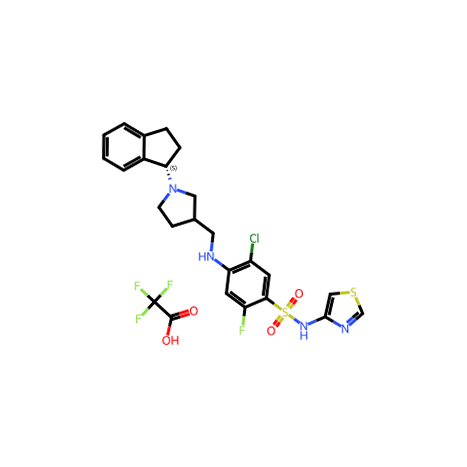 O=C(O)C(F)(F)F.O=S(=O)(Nc1cscn1)c1cc(Cl)c(NCC2CCN([C@H]3CCc4ccccc43)C2)cc1F